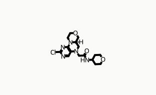 O=C(CN1C[C@@H]2COCCN2c2nc(Cl)ncc21)NC1CCOCC1